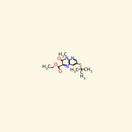 CCOC(=O)c1nc2cc(SC(C)(C)C)cnc2n(C)c1=O